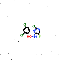 Clc1cccc(Cl)c1.ONc1nc(Cl)ncc1F